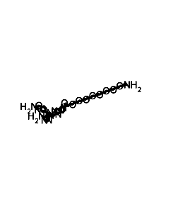 NCCOCCOCCOCCOCCOCCOCCOCCOCCC(=O)N1CCc2nc(Cn3nc(-c4ccc5oc(N)nc5c4)c4c(N)ncnc43)ncc2C1